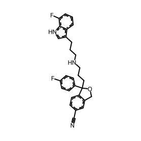 N#Cc1ccc2c(c1)COC2(CCCNCCCc1c[nH]c2c(F)cccc12)c1ccc(F)cc1